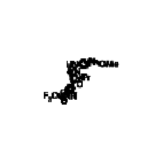 COCCN1CC2(CCC(Nc3ncc4cc(-c5ccc(NS(=O)(=O)CCC(F)(F)F)c(F)c5)c(=O)n(C(C)C)c4n3)CC2)C1